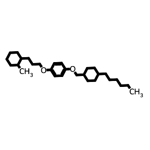 CCCCCCC1CCC(COc2ccc(OCCCC3CCCCC3C)cc2)CC1